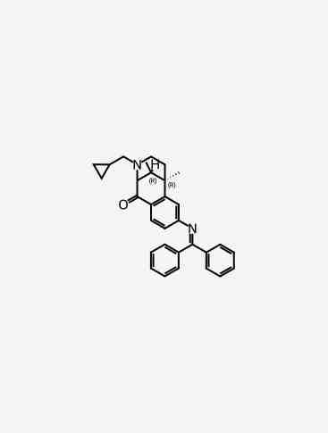 C[C@H]1C2C(=O)c3ccc(N=C(c4ccccc4)c4ccccc4)cc3[C@]1(C)CCN2CC1CC1